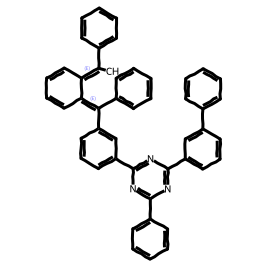 C/C(c1ccccc1)=c1/cccc/c1=C(/c1ccccc1)c1cccc(-c2nc(-c3ccccc3)nc(-c3cccc(-c4ccccc4)c3)n2)c1